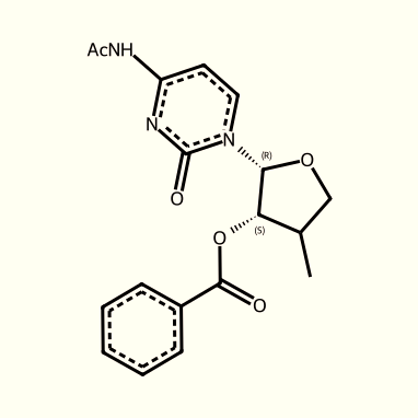 CC(=O)Nc1ccn([C@@H]2OCC(C)[C@@H]2OC(=O)c2ccccc2)c(=O)n1